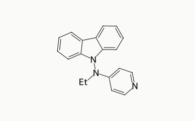 CCN(c1ccncc1)n1c2ccccc2c2ccccc21